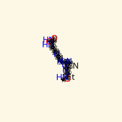 CCC1(C(=O)NC2CCC2)CCN(c2ccc(-c3nc(-c4cnn(C5CCC(N6CCC(c7ccc(N[C@H]8CCC(=O)NC8=O)cc7)CC6)CC5)c4)cn4ncc(C#N)c34)cn2)CC1